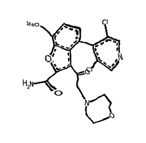 COc1ccc(-c2c(Cl)cncc2Cl)c2c(C(=O)CN3CCOCC3)c(C(N)=O)oc12